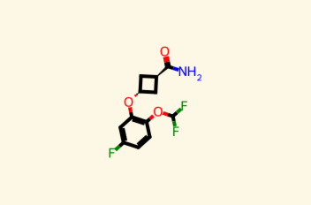 NC(=O)[C@H]1C[C@H](Oc2cc(F)ccc2OC(F)F)C1